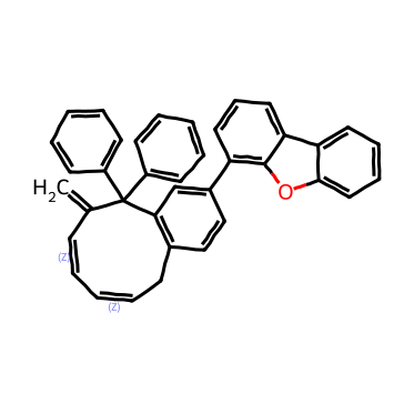 C=C1/C=C\C=C/Cc2ccc(-c3cccc4c3oc3ccccc34)cc2C1(c1ccccc1)c1ccccc1